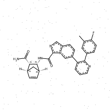 Cc1cc(-c2ncccc2-c2ccc3cnc(C(=O)N[C@H]4[C@@H](C(N)=O)[C@@H]5C=C[C@H]4C5)n3c2)ccc1F